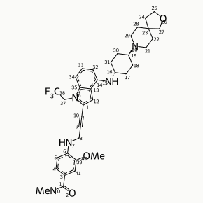 CNC(=O)c1ccc(NCC#Cc2cc3c(N[C@H]4CC[C@H](N5CCC6(CCOC6)CC5)CC4)cccc3n2CC(F)(F)F)c(OC)c1